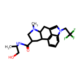 CC(CO)NC(=O)C1CC2c3cccc4c3c(cn4CC(F)(F)F)CC2N(C)C1